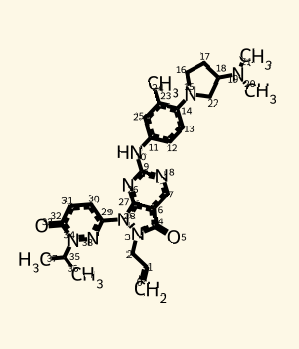 C=CCn1c(=O)c2cnc(Nc3ccc(N4CCC(N(C)C)C4)c(C)c3)nc2n1-c1ccc(=O)n(C(C)C)n1